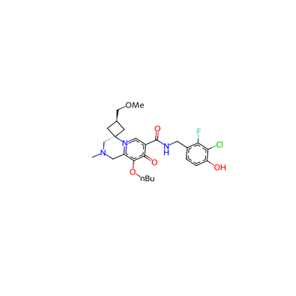 CCCCOc1c2n(cc(C(=O)NCc3ccc(O)c(Cl)c3F)c1=O)[C@]1(CN(C)C2)C[C@H](COC)C1